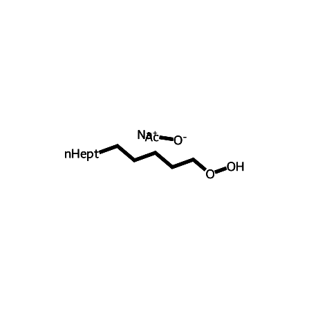 CC(=O)[O-].CCCCCCCCCCCCOO.[Na+]